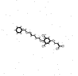 ClC(Cl)=CCOc1cc(Cl)c(OCCC/C=N/OCc2ccccc2)c(Cl)c1